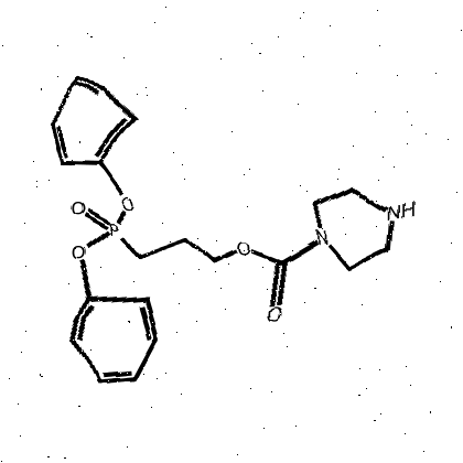 O=C(OCCCP(=O)(Oc1ccccc1)Oc1ccccc1)N1CCNCC1